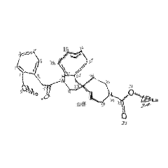 COc1ccccc1C(=O)NCC1(c2ccccc2)CCN(C(=O)OC(C)(C)C)CC1